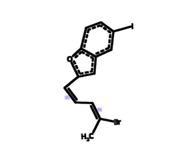 C/C(Br)=C\C=C/c1cc2cc(I)ccc2o1